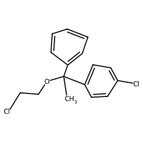 CC(OCCCl)(c1ccccc1)c1ccc(Cl)cc1